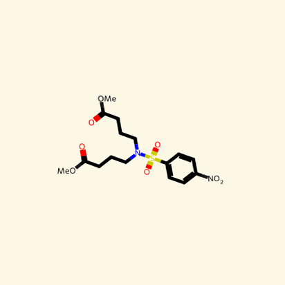 COC(=O)CCCN(CCCC(=O)OC)S(=O)(=O)c1ccc([N+](=O)[O-])cc1